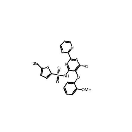 COc1ccccc1Oc1c(Cl)nc(-c2ncccn2)nc1NS(=O)(=O)c1ccc(C(C)(C)C)s1